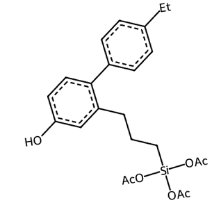 CCc1ccc(-c2ccc(O)cc2CCC[Si](OC(C)=O)(OC(C)=O)OC(C)=O)cc1